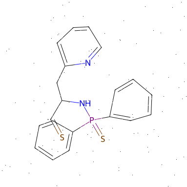 S=[C]C(Cc1ccccn1)NP(=S)(c1ccccc1)c1ccccc1